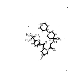 CC1(NCC(=O)N2C[C@@H](F)CC2C(=O)c2nnc(C(C)(C)C)o2)CCN(C2CCNCC2)CC1